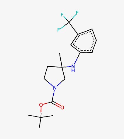 CC1(Nc2cccc(C(F)(F)F)c2)CCN(C(=O)OC(C)(C)C)C1